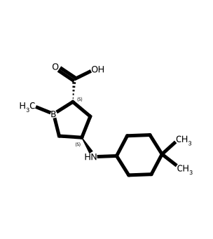 CB1C[C@H](NC2CCC(C)(C)CC2)C[C@H]1C(=O)O